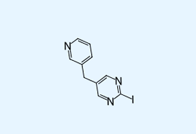 Ic1ncc(Cc2cccnc2)cn1